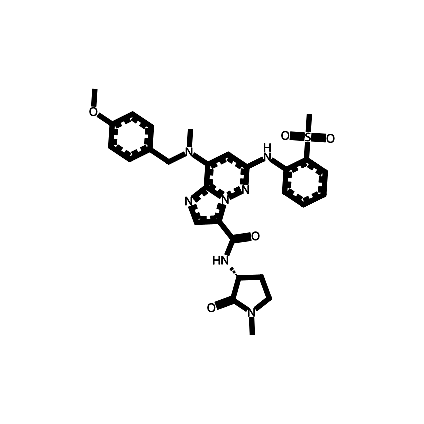 COc1ccc(CN(C)c2cc(Nc3ccccc3S(C)(=O)=O)nn3c(C(=O)N[C@@H]4CCN(C)C4=O)cnc23)cc1